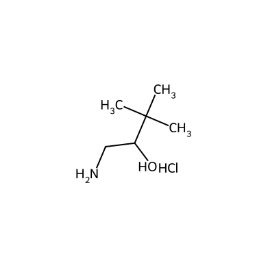 CC(C)(C)C(O)CN.Cl